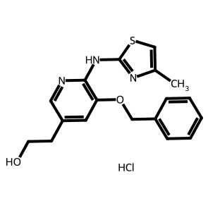 Cc1csc(Nc2ncc(CCO)cc2OCc2ccccc2)n1.Cl